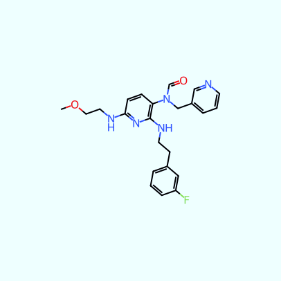 COCCNc1ccc(N(C=O)Cc2cccnc2)c(NCCc2cccc(F)c2)n1